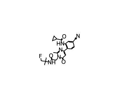 Cc1nc(-c2ccc(C#N)cc2NC(=O)C2CC2)cc(=O)n1CC(=O)NC(C)(C)CF